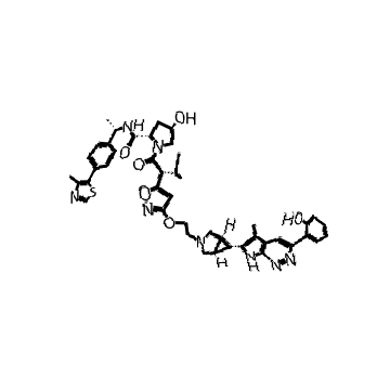 Cc1ncsc1-c1ccc([C@H](C)NC(=O)[C@@H]2C[C@@H](O)CN2C(=O)[C@@H](c2cc(OCCN3C[C@@H]4[C@H](C3)[C@H]4c3[nH]c4nnc(-c5ccccc5O)cc4c3C)no2)C(C)C)cc1